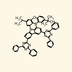 CC(C)c1cc2c3c(c1)-n1c4ccc(-c5nc(-c6ccccc6)nc(-c6ccccc6)n5)cc4c4cc(-c5nc(-c6ccccc6)nc(-c6ccccc6)n5)cc(c41)B3c1cc(C(C)(C)C)ccc1O2